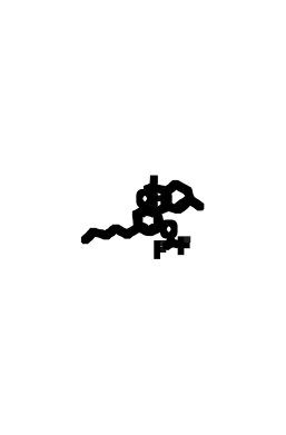 C=C(C)C1CCC(C)=CC1c1c(O)cc(CCCCC)cc1OC(F)F